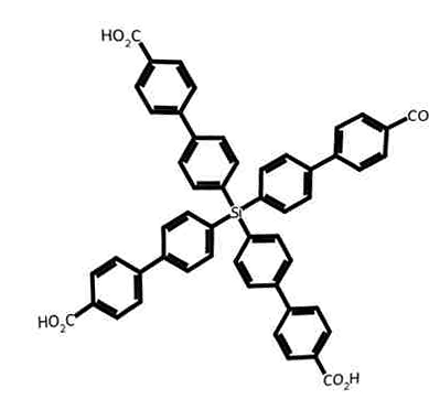 O=C(O)c1ccc(-c2ccc([Si](c3ccc(-c4ccc(C(=O)O)cc4)cc3)(c3ccc(-c4ccc(C(=O)O)cc4)cc3)c3ccc(-c4ccc(C(=O)O)cc4)cc3)cc2)cc1